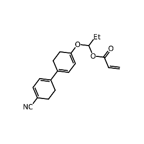 C=CC(=O)OC(CC)OC1=CC=C(C2=CC=C(C#N)CC2)CC1